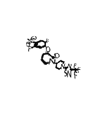 CS(=O)(=O)c1cc(F)c(O[C@H]2CCCN(C3CCN(c4nc(C(F)(F)F)ns4)CC3)C2=O)cc1F